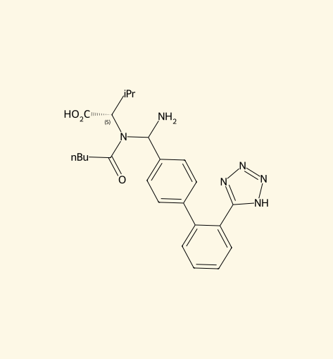 CCCCC(=O)N(C(N)c1ccc(-c2ccccc2-c2nnn[nH]2)cc1)[C@H](C(=O)O)C(C)C